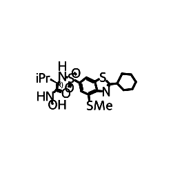 CSc1cc(S(=O)(=O)N[C@@H](C(=O)NO)C(C)C)cc2sc(C3CCCCC3)nc12